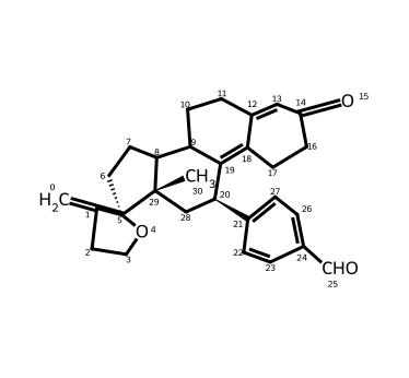 C=C1CCO[C@@]12CCC1C3CCC4=CC(=O)CCC4=C3[C@@H](c3ccc(C=O)cc3)C[C@@]12C